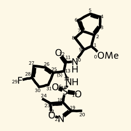 COC1c2ccccc2CC1NC(=O)[C@@H](NS(=O)(=O)c1c(C)noc1C)C1=CC=C(F)CC1